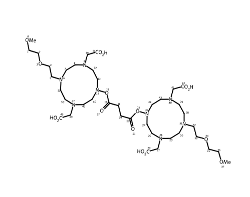 COCCOCCN1CCN(CC(=O)O)CCN(OC(=O)CCC(=O)ON2CCN(CC(=O)O)CCN(CCOCCOC)CCN(CC(=O)O)CC2)CCN(CC(=O)O)CC1